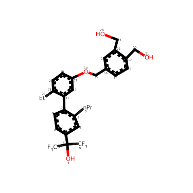 CCCc1cc(C(O)(C(F)(F)F)C(F)(F)F)ccc1-c1cc(OCc2ccc(CO)c(CO)c2)ccc1CC